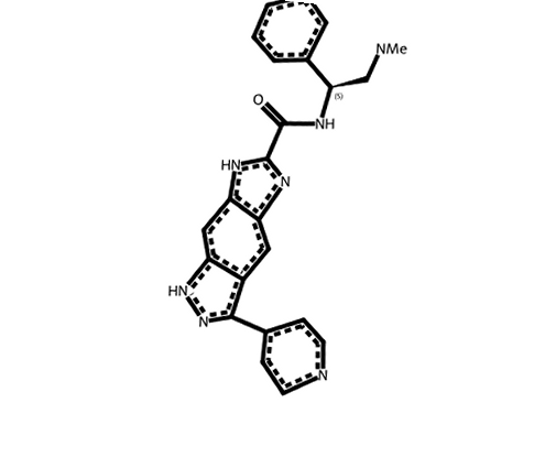 CNC[C@@H](NC(=O)c1nc2cc3c(-c4ccncc4)n[nH]c3cc2[nH]1)c1ccccc1